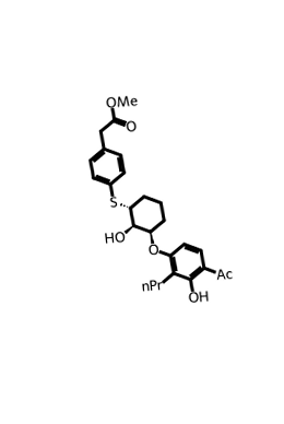 CCCc1c(O[C@@H]2CCC[C@@H](Sc3ccc(CC(=O)OC)cc3)[C@@H]2O)ccc(C(C)=O)c1O